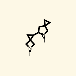 IN1CC2(CC2C2CC3(CC3)CN2I)C1